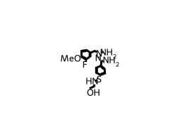 COc1ccc(CN(N)/N=C(\N)c2ccc(SNCCO)cc2)cc1F